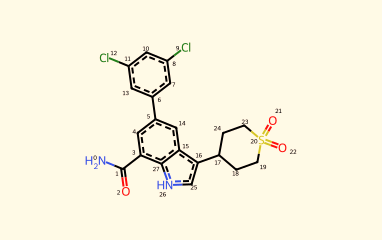 NC(=O)c1cc(-c2cc(Cl)cc(Cl)c2)cc2c(C3CCS(=O)(=O)CC3)c[nH]c12